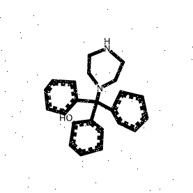 Oc1ccccc1C(c1ccccc1)(c1ccccc1)N1CCNCC1